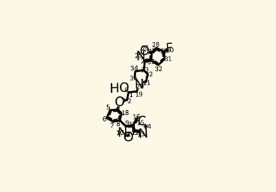 O[C@@H](COc1cccc(-c2noc3ncccc23)c1)CN1CCC(c2noc3cc(F)ccc23)CC1